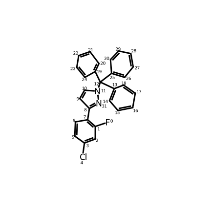 Fc1cc(Cl)ccc1-c1ccn(C(c2ccccc2)(c2ccccc2)c2ccccc2)n1